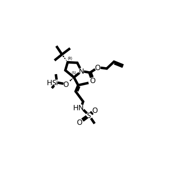 C=CCOC(=O)N1C[C@@H](C(C)(C)C)C[C@]1(O[SiH](C)C)C(C)=CCNS(C)(=O)=O